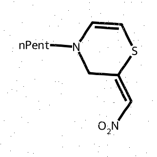 CCCCCN1C=CSC(=C[N+](=O)[O-])C1